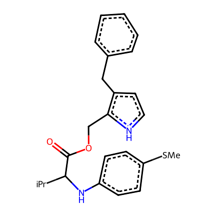 CSc1ccc(NC(C(=O)OCc2[nH]ccc2Cc2ccccc2)C(C)C)cc1